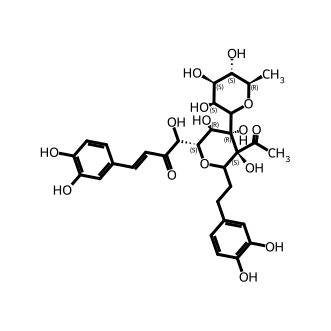 CC(=O)[C@]1(O)C(CCc2ccc(O)c(O)c2)O[C@H](C(O)C(=O)C=Cc2ccc(O)c(O)c2)[C@@H](O)[C@@]1(O)C1O[C@H](C)[C@@H](O)[C@H](O)[C@@H]1O